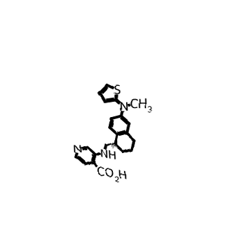 CN(c1ccc2c(c1)CCC[C@H]2CNc1cnccc1C(=O)O)c1cccs1